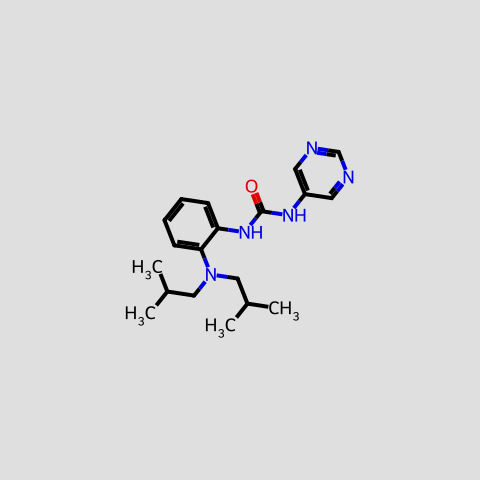 CC(C)CN(CC(C)C)c1ccccc1NC(=O)Nc1cncnc1